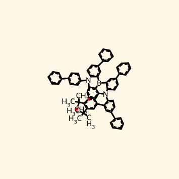 CC(C)(C)c1ccc(-c2cc(-c3ccccc3)ccc2N2c3ccc(-c4ccccc4)cc3B3c4cc(-c5ccccc5)ccc4N(c4ccc(-c5ccccc5)cc4)c4cccc2c43)cc1C(C)(C)C